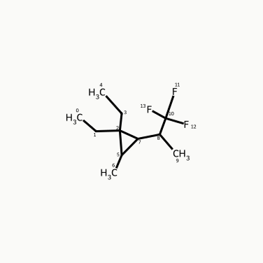 CCC1(CC)C(C)C1C(C)C(F)(F)F